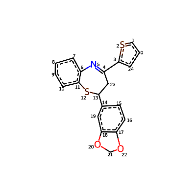 c1csc(C2=Nc3ccccc3SC(c3ccc4c(c3)OCO4)C2)c1